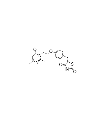 Cc1cc(=O)n(CCOc2ccc(C=C3SC(=O)NC3=O)cc2)c(C)n1